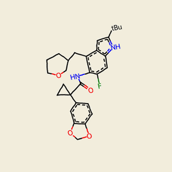 CC(C)(C)c1cc2c(CC3CCCOC3)c(NC(=O)C3(c4ccc5c(c4)OCO5)CC3)c(F)cc2[nH]1